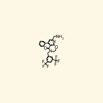 NCc1cc(-c2ccccc2)c2c(n1)OCCN(Cc1cc(C(F)(F)F)cc(C(F)(F)F)c1)C2=O